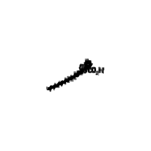 C/C=C/C/C=C/C/C=C/C/C=C/C/C=C/C/C=C/CCC(=O)Oc1ccccc1C(=O)O